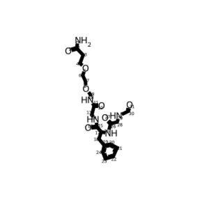 NC(=O)CCOCCOCNC(=O)CNC(=O)C(Cc1ccccc1)NC(=O)CNC=O